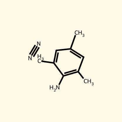 Cc1cc(C)c(N)c(C)c1.N#N